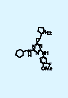 CCN1CCCC1COc1nc(NCC2CCCCC2)nc(Nc2ccc(OC)c(F)c2)n1